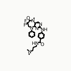 CN(C)CCCNC(=O)c1ccc(Nc2ncc3c(n2)N(c2ccccc2)CC(F)(F)C(=O)N3C)cc1